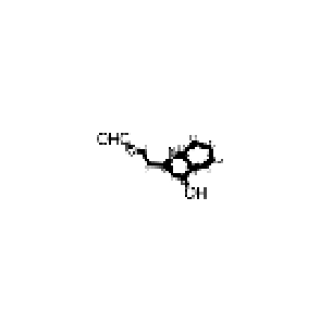 O=COCCc1cc(O)c2ccccc2n1